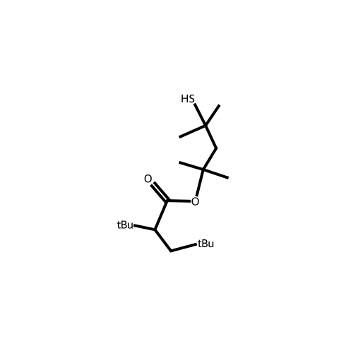 CC(C)(C)CC(C(=O)OC(C)(C)CC(C)(C)S)C(C)(C)C